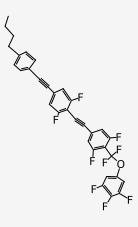 CCCCc1ccc(C#Cc2cc(F)c(C#Cc3cc(F)c(C(F)(F)Oc4cc(F)c(F)c(F)c4)c(F)c3)c(F)c2)cc1